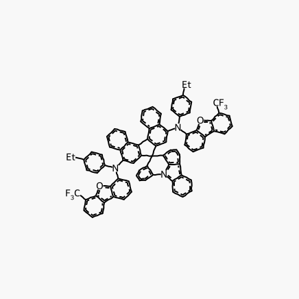 CCc1ccc(N(c2cc3c(c4ccccc24)-c2c(cc(N(c4ccc(CC)cc4)c4cccc5c4oc4c(C(F)(F)F)cccc45)c4ccccc24)C32c3ccccc3-n3c4ccccc4c4cccc2c43)c2cccc3c2oc2c(C(F)(F)F)cccc23)cc1